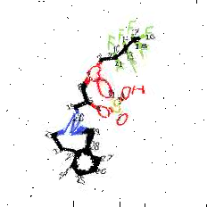 O=S(=O)(O)OC(COCC(F)(F)C(F)(F)C(F)(F)F)CN1CCc2ccccc2C1